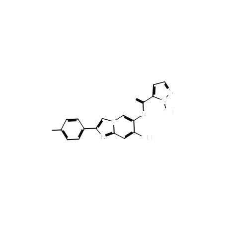 Cc1cc2nc(-c3ccc(F)cc3)cn2cc1NC(=O)c1ccnn1C